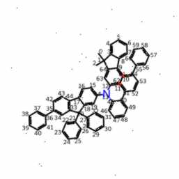 CC1(C)c2ccccc2-c2ccc(N(c3ccc4c(c3)C(c3ccccc3)(c3ccccc3)c3cc(-c5ccccc5)ccc3-4)c3ccccc3-c3ccc(-c4ccccc4)cc3)cc21